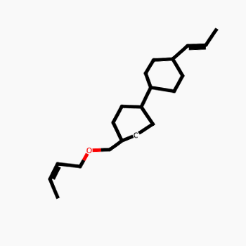 C/C=C\COCC1CCC(C2CCC(/C=C/C)CC2)CC1